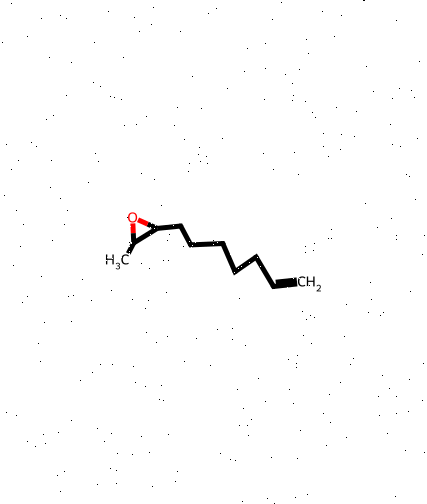 C=CCCCCCC1OC1C